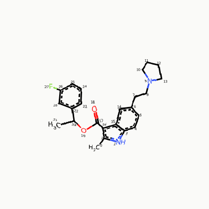 Cc1[nH]c2ccc(CCN3CCCC3)cc2c1C(=O)OC(C)c1cccc(F)c1